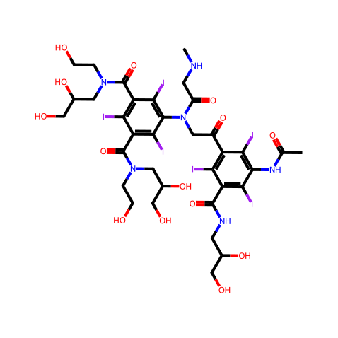 CNCC(=O)N(CC(=O)c1c(I)c(NC(C)=O)c(I)c(C(=O)NCC(O)CO)c1I)c1c(I)c(C(=O)N(CCO)CC(O)CO)c(I)c(C(=O)N(CCO)CC(O)CO)c1I